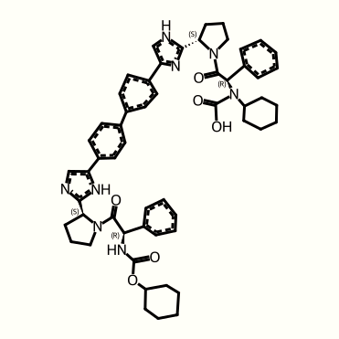 O=C(N[C@@H](C(=O)N1CCC[C@H]1c1ncc(-c2ccc(-c3ccc(-c4c[nH]c([C@@H]5CCCN5C(=O)[C@@H](c5ccccc5)N(C(=O)O)C5CCCCC5)n4)cc3)cc2)[nH]1)c1ccccc1)OC1CCCCC1